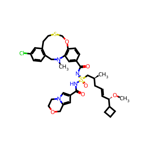 CO[C@@H](/C=C/C[C@H](C)CS(=O)(=NC(=O)c1ccc2c(c1)N(C)Cc1ccc(Cl)cc1CCSCO2)NC(=O)c1cc2n(c1)CCOC2)C1CCC1